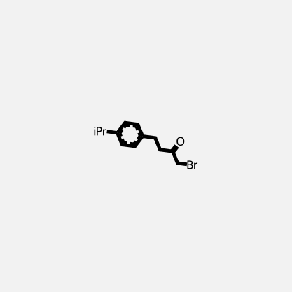 CC(C)c1ccc(CCC(=O)CBr)cc1